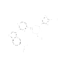 Cc1noc([C@@H]2CN(c3ccnc(-c4cnc5ccc(C(F)F)cn45)n3)C[C@H](C)O2)n1